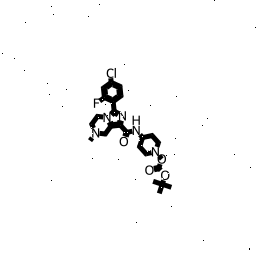 CN1CCn2c(-c3ccc(Cl)cc3F)nc(C(=O)NC3CCN(OC(=O)OC(C)(C)C)CC3)c2C1